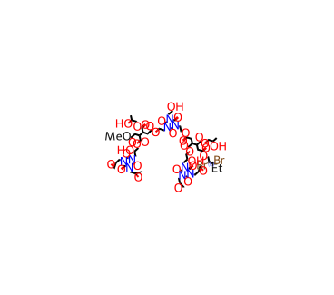 CC/C(Br)=C(\Br)COC(=O)CC(C(=O)OCC(C)O)C(CC(=O)OCCn1c(=O)n(CCO)c(=O)n(CCOC(=O)CC(C(=O)OCC(C)O)C(CC(=O)OC)C(=O)OCC(O)Cn2c(=O)n(CC3CO3)c(=O)n(CC3CO3)c2=O)c1=O)C(=O)OCC(O)Cn1c(=O)n(CC2CO2)c(=O)n(CC2CO2)c1=O